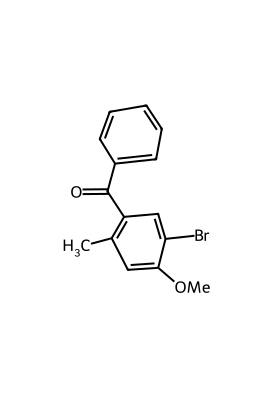 COc1cc(C)c(C(=O)c2ccccc2)cc1Br